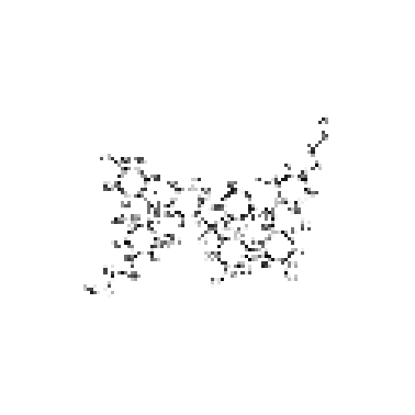 CCCCc1cc(C)c(N(c2ccc(C)cc2)c2ccc3c(c2)C(C)(c2cc(C)cc(C)c2)c2cc(N(c4ccc(C)cc4)c4c(C)cc(CCCC)cc4C)ccc2-3)c(C)c1